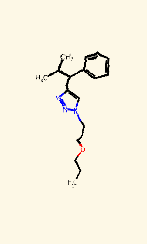 CCCOCCn1cc(C(c2ccccc2)C(C)C)nn1